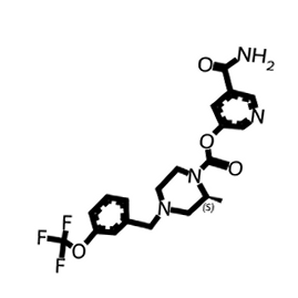 C[C@H]1CN(Cc2cccc(OC(F)(F)F)c2)CCN1C(=O)Oc1cncc(C(N)=O)c1